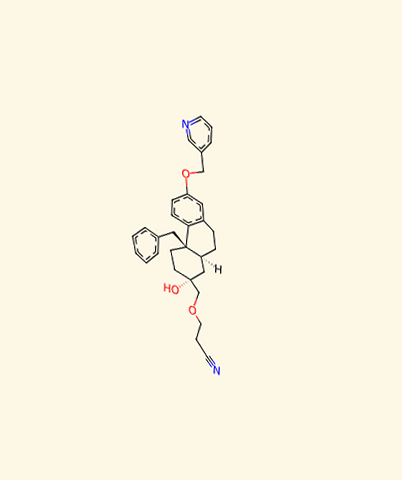 N#CCCOC[C@@]1(O)CC[C@]2(Cc3ccccc3)c3ccc(OCc4cccnc4)cc3CC[C@H]2C1